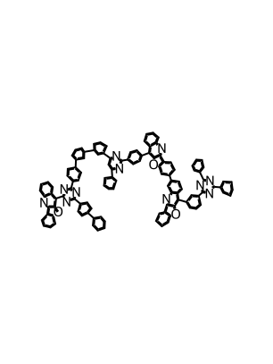 c1ccc(-c2ccc(-c3nc(-c4ccc(-c5cccc(-c6cccc(-c7cc(-c8ccccc8)nc(-c8ccc(-c9c%10ccccc%10nc%10c9oc9cc(-c%11ccc%12c(-c%13cccc(-c%14nc(-c%15ccccc%15)nc(-c%15ccccc%15)n%14)c%13)c%13oc%14ccccc%14c%13nc%12c%11)ccc9%10)cc8)n7)c6)c5)cc4)nc(-c4c5ccccc5nc5c4oc4ccccc45)n3)cc2)cc1